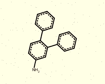 Nc1ccc(-c2ccccc2)c(-c2ccccc2)c1